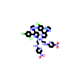 O=[N+]([O-])c1ccc(NCCN(c2ccc(-c3ncc[nH]3)c(-c3ccc(Cl)cc3Cl)n2)N(CCNc2ccc([N+](=O)[O-])cn2)c2ccc(-c3ncc[nH]3)c(-c3ccc(Cl)cc3Cl)n2)nc1